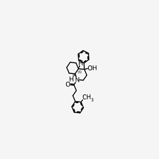 Cc1ccccc1CCC(=O)N1CCC(O)(c2ccccc2)[C@H]2CCCC[C@@H]21